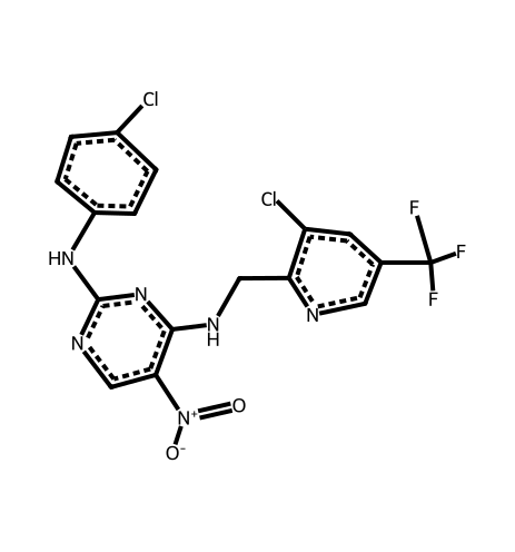 O=[N+]([O-])c1cnc(Nc2ccc(Cl)cc2)nc1NCc1ncc(C(F)(F)F)cc1Cl